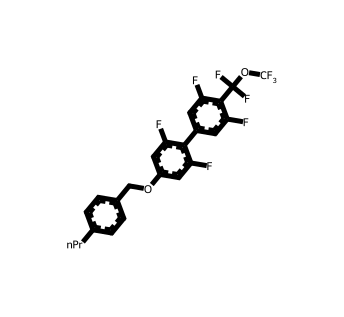 CCCc1ccc(COc2cc(F)c(-c3cc(F)c(C(F)(F)OC(F)(F)F)c(F)c3)c(F)c2)cc1